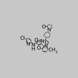 Cc1ccc2oc(C(=O)Nc3ccc(Cl)cn3)c(NC(=O)[C@H]3CC[C@H](N4CCCC4=O)CC3)c2n1